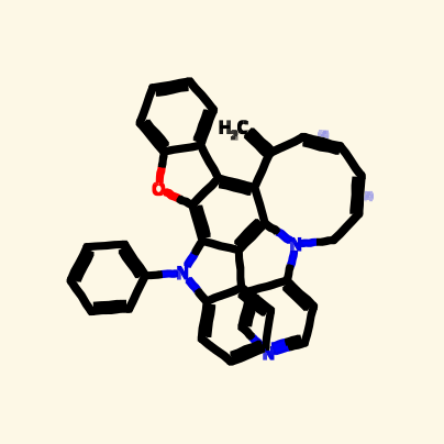 C=C1/C=C\C=C/CN(c2ccncc2)c2c1c1c3ccccc3oc1c1c2c2ccccc2n1-c1ccccc1